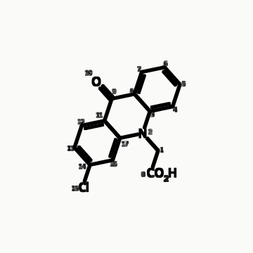 O=C(O)Cn1c2ccccc2c(=O)c2ccc(Cl)cc21